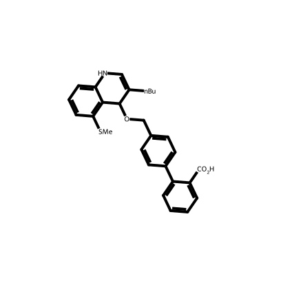 CCCCC1=CNc2cccc(SC)c2C1OCc1ccc(-c2ccccc2C(=O)O)cc1